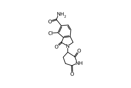 NC(=O)c1ccc2c(c1Cl)C(=O)N(C1CCC(=O)NC1=O)C2